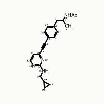 CC(=O)NC(C)Cc1ccc(C#Cc2ccnc(NCC3CC3)n2)cc1